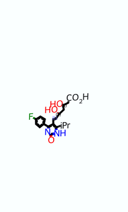 CC(C)c1[nH]c(=O)nc(-c2ccc(F)cc2)c1/C=C/[C@@H](O)C[C@@H](O)CC(=O)O